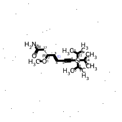 CO[C@@H](/C=C/C#C[Si](C(C)C)(C(C)C)C(C)C)CC(N)=O